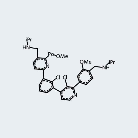 C[O][Po][c]1nc(-c2cccc(-c3ccnc(-c4ccc(CNC(C)C)c(OC)c4)c3Cl)c2Cl)ccc1CNC(C)C